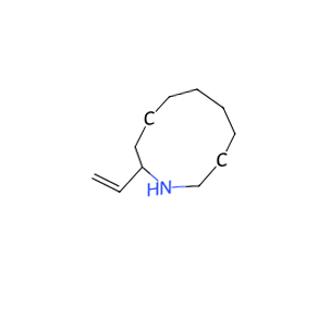 C=CC1CCCCCCCCN1